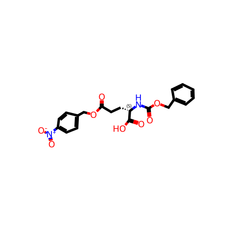 O=C(CC[C@H](NC(=O)OCc1ccccc1)C(=O)O)OCc1ccc([N+](=O)[O-])cc1